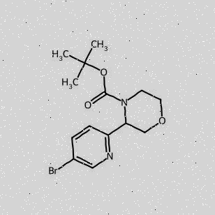 CC(C)(C)OC(=O)N1CCOCC1c1ccc(Br)cn1